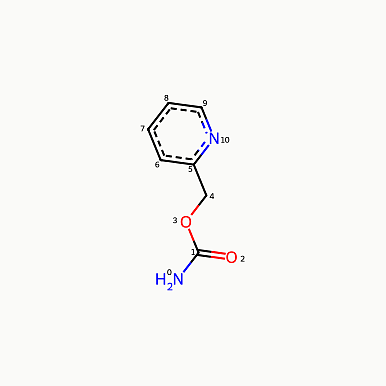 NC(=O)OCc1ccccn1